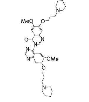 COc1cc2c(-n3cnc4cc(OCCCN5CCCCC5)c(OC)cc4c3=O)ncnc2cc1OCCCN1CCCCC1